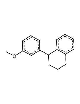 COc1cccc(C2CCCc3ccccc32)c1